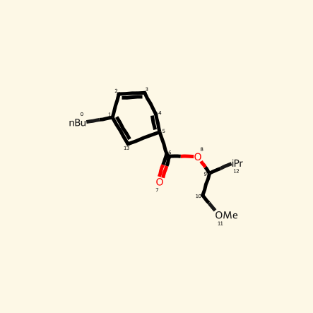 CCCCc1cccc(C(=O)OC(COC)C(C)C)c1